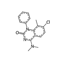 Cc1c(Cl)ccc2c(N(C)C)nc(=O)n(-c3ccccc3)c12